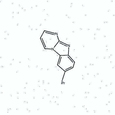 CC(C)c1ccc2nc3ncccn3c2c1